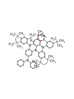 Cc1cc2c(cc1N1c3ccc(N(c4ccccc4)c4ccccc4)cc3B3c4cc5c(cc4N(c4ccc(C(C)(C)C)cc4-c4ccccc4)c4cc(C(C)(C)C)cc1c43)C(C)(C)CCC5(C)C)C(C)(C)CC2(C)C